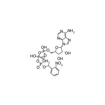 CC(OP(=O)(O)OP(=O)(O)OP(=O)(O)OC[C@H]1O[C@@H](n2cnc3c(N)ncnc32)[C@H](O)[C@@H]1O)c1ccccc1[N+](=O)[O-]